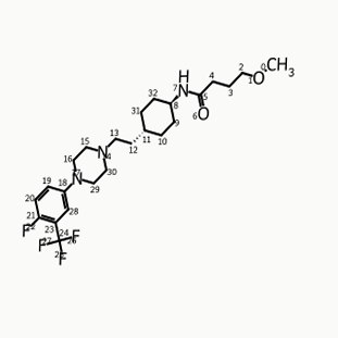 COCCCC(=O)N[C@H]1CC[C@H](CCN2CCN(c3ccc(F)c(C(F)(F)F)c3)CC2)CC1